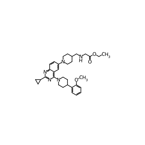 CCOC(=O)CNCC1CCN(c2ccc3nc(C4CC4)nc(N4CCC(c5ccccc5OC)CC4)c3c2)CC1